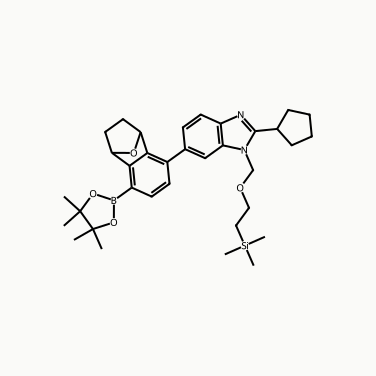 CC1(C)OB(c2ccc(-c3ccc4nc(C5CCCC5)n(COCC[Si](C)(C)C)c4c3)c3c2C2CCC3O2)OC1(C)C